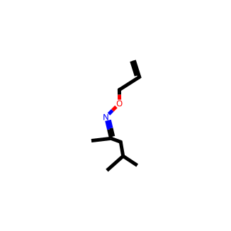 C=CCON=C(C)CC(C)C